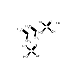 C=CC.C=CC.OP(O)(O)=S.OP(O)(O)=S.[Cu]